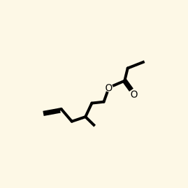 C=CCC(C)CCOC(=O)CC